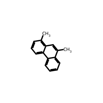 Cc1cc2c(C)cccc2c2ccccc12